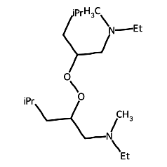 CCN(C)CC(CC(C)C)OOC(CC(C)C)CN(C)CC